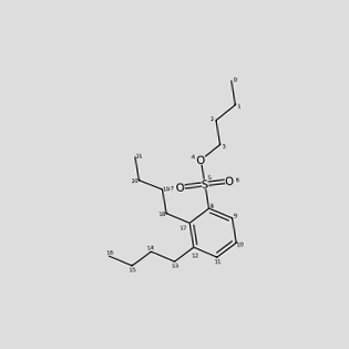 CCCCOS(=O)(=O)c1cccc(CCCC)c1CCCC